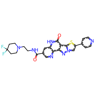 O=C(NCCN1CCC(F)(F)CC1)c1cnc2c(c1)[nH]c(=O)c1c2nn2cc(-c3ccncc3)sc12